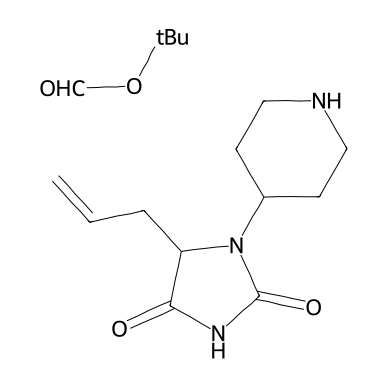 C=CCC1C(=O)NC(=O)N1C1CCNCC1.CC(C)(C)OC=O